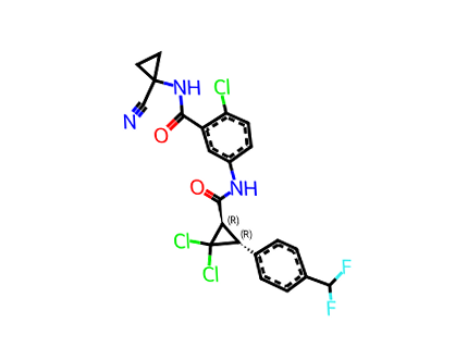 N#CC1(NC(=O)c2cc(NC(=O)[C@H]3[C@H](c4ccc(C(F)F)cc4)C3(Cl)Cl)ccc2Cl)CC1